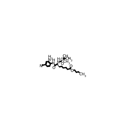 CCCCOC(=O)CCCCC[C@H](NC(=O)OC(C)(C)C)C(=O)Nc1ccc(C#N)cc1N